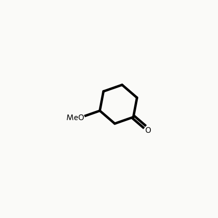 COC1CCCC(=O)C1